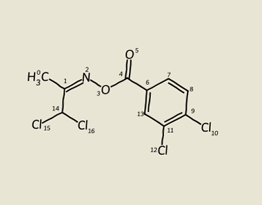 CC(=NOC(=O)c1ccc(Cl)c(Cl)c1)C(Cl)Cl